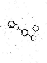 [CH]1CC[C@H](n2nncc2-c2ccc(-c3nc4ccccc4o3)cc2)C1